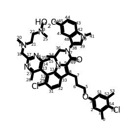 Cc1cc(OCCCc2c3n(c4c(-c5c(C)nc(CN(C)CCN(C)C)nc5C)c(Cl)ccc24)C(C)CN(c2cn(C)c4ccc(C(=O)O)cc24)C3=O)cc(C)c1Cl